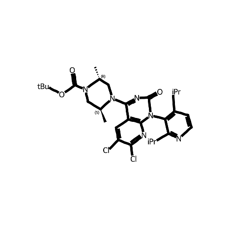 CC(C)c1ccnc(C(C)C)c1-n1c(=O)nc(N2C[C@@H](C)N(C(=O)OC(C)(C)C)C[C@@H]2C)c2cc(Cl)c(Cl)nc21